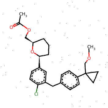 COCC1(c2ccc(Cc3cc([C@@H]4[CH][CH][CH][C@H](COC(C)=O)O4)ccc3Cl)cc2)CC1